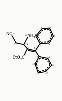 CCOC(=O)C(=C(c1ccccc1)c1ccccc1)C(N)CC#N